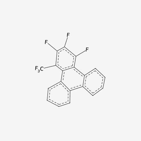 Fc1c(F)c(C(F)(F)F)c2c3ccccc3c3ccccc3c2c1F